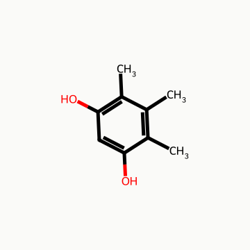 Cc1c(O)cc(O)c(C)c1C